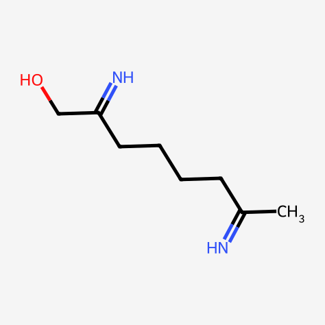 CC(=N)CCCCC(=N)CO